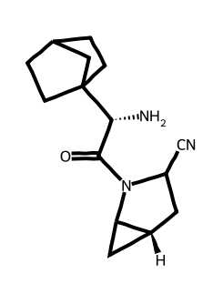 N#CC1C[C@@H]2CC2N1C(=O)[C@@H](N)C12CCC(CC1)C2